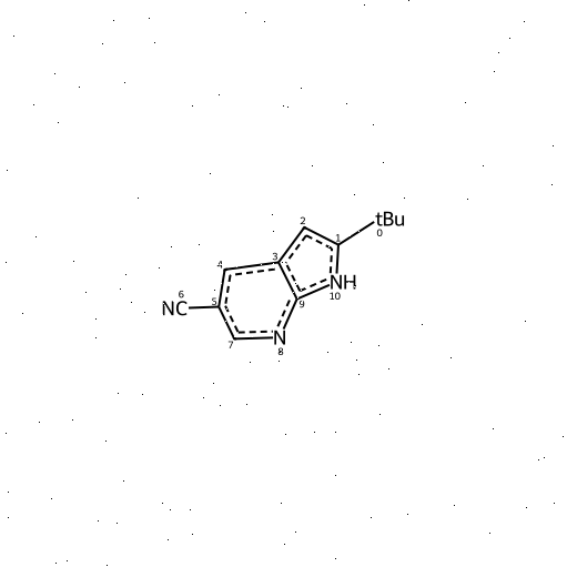 CC(C)(C)c1cc2cc(C#N)cnc2[nH]1